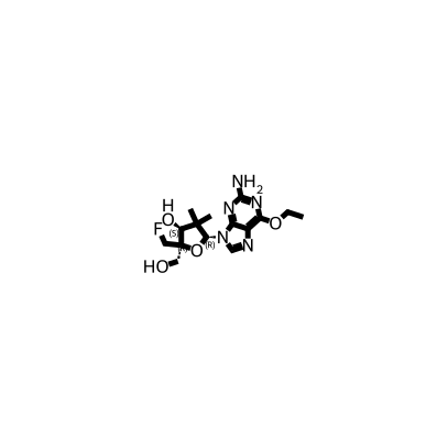 CCOc1nc(N)nc2c1ncn2[C@@H]1O[C@@](CO)(CF)[C@@H](O)C1(C)C